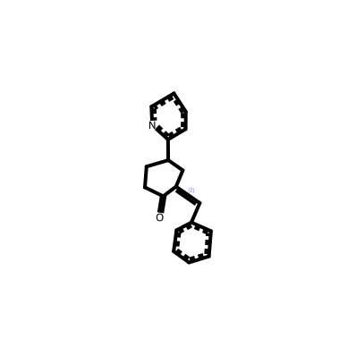 O=C1CCC(c2ccccn2)C/C1=C/c1ccccc1